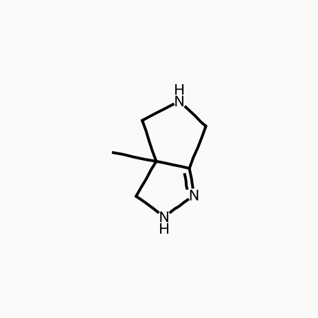 CC12CNCC1=NNC2